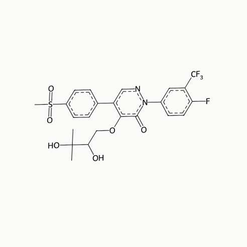 CC(C)(O)C(O)COc1c(-c2ccc(S(C)(=O)=O)cc2)cnn(-c2ccc(F)c(C(F)(F)F)c2)c1=O